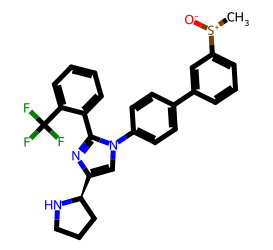 C[S+]([O-])c1cccc(-c2ccc(-n3cc([C@H]4CCCN4)nc3-c3ccccc3C(F)(F)F)cc2)c1